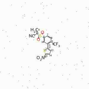 C=C(C#N)S(=O)(=O)c1ccc(C(F)(F)F)c(-c2ccc([N+](=O)[O-])s2)c1